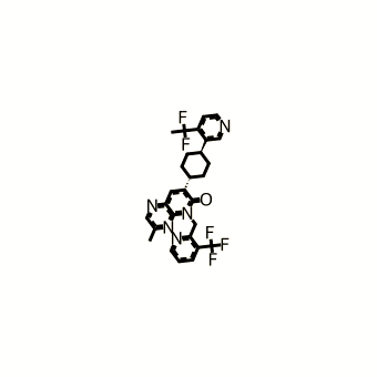 Cc1cnc2cc([C@H]3CC[C@H](c4cnccc4C(C)(F)F)CC3)c(=O)n(Cc3ncccc3C(F)(F)F)c2n1